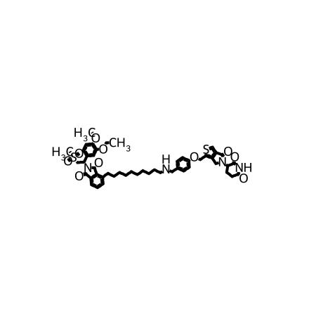 CCOc1cc(C(CS(C)(=O)=O)N2C(=O)c3cccc(CCCCCCCCCCNCc4ccc(OCc5scc6c5CN(C5CCC(=O)NC5=O)C6=O)cc4)c3C2=O)ccc1OC